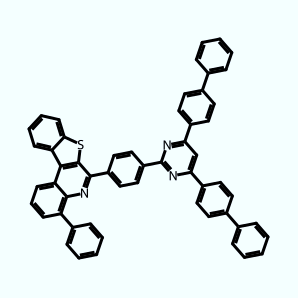 c1ccc(-c2ccc(-c3cc(-c4ccc(-c5ccccc5)cc4)nc(-c4ccc(-c5nc6c(-c7ccccc7)cccc6c6c5sc5ccccc56)cc4)n3)cc2)cc1